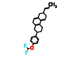 C/C=C/C1CC=C2C(=CCC3=C2CCC(c2ccc(OC(F)F)cc2)C3)C1